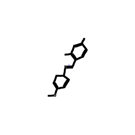 COC1=CCC(/N=C/c2ccc(C)cc2C)C=C1